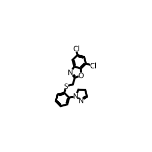 Clc1cc(Cl)c2oc(CSc3ccccc3N3CCC=N3)nc2c1